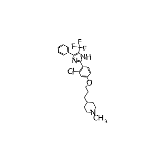 CN1CCC(CCCOc2ccc(-c3nc(-c4ccccc4)c(C(F)(F)F)[nH]3)c(Cl)c2)CC1